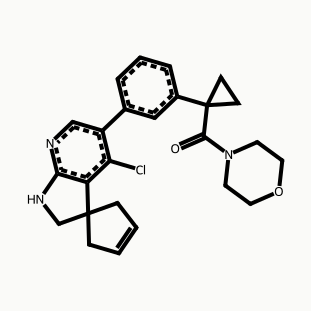 O=C(N1CCOCC1)C1(c2cccc(-c3cnc4c(c3Cl)C3(CC=CC3)CN4)c2)CC1